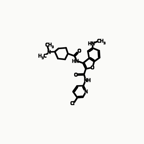 CNc1ccc2oc(C(=O)Nc3ccc(Cl)cn3)c(NC(=O)C3CCC(N(C)C)CC3)c2c1